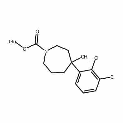 CC(C)(C)OC(=O)N1CCCC(C)(c2cccc(Cl)c2Cl)CC1